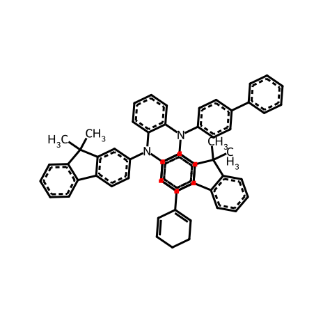 CC1(C)c2ccccc2-c2ccc(N(c3ccc4c(c3)C(C)(C)c3ccccc3-4)c3ccccc3N(c3ccc(C4=CCCC=C4)cc3)c3ccc(-c4ccccc4)cc3)cc21